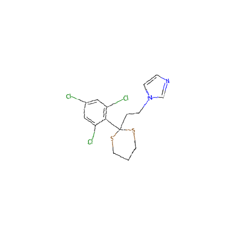 Clc1cc(Cl)c(C2(CCn3ccnc3)SCCCS2)c(Cl)c1